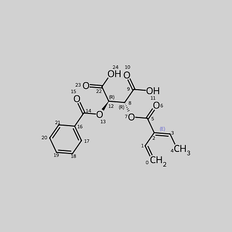 C=C/C(=C\C)C(=O)O[C@@H](C(=O)O)[C@@H](OC(=O)c1ccccc1)C(=O)O